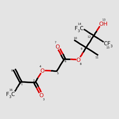 C=C(C(=O)OCC(=O)OC(C)(C)C(O)(C(F)(F)F)C(F)(F)F)C(F)(F)F